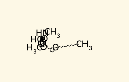 CCCCCCCCCCCCOc1cccc(CCC(COP(O)OCCNC)OC(C)=O)c1